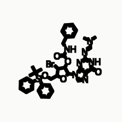 CN(C)/C=N/c1nc2c(ncn2C2OC(CO[Si](c3ccccc3)(c3ccccc3)C(C)(C)C)C(Br)C2OC(=O)NCc2ccccc2)c(=O)[nH]1